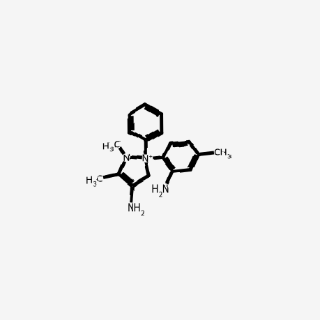 CC1=C(N)C[N+](c2ccccc2)(c2ccc(C)cc2N)N1C